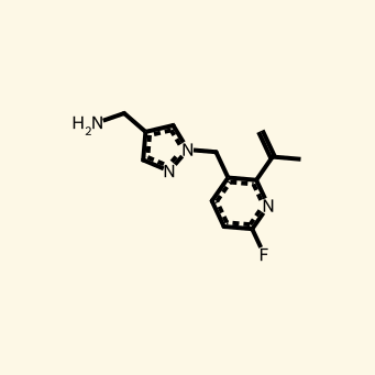 C=C(C)c1nc(F)ccc1Cn1cc(CN)cn1